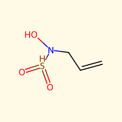 C=CCN(O)[SH](=O)=O